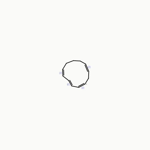 [C]1=C/C=C/C=C\CCC/C=C\C\1